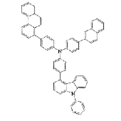 c1ccc(-n2c3ccccc3c3c(-c4ccc(N(c5ccc(-c6ccc7ccccc7c6)cc5)c5ccc(-c6cccc7c6ccc6ccccc67)cc5)cc4)cccc32)cc1